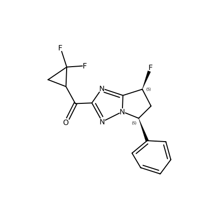 O=C(c1nc2n(n1)[C@H](c1ccccc1)C[C@@H]2F)C1CC1(F)F